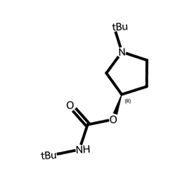 CC(C)(C)NC(=O)O[C@@H]1CCN(C(C)(C)C)C1